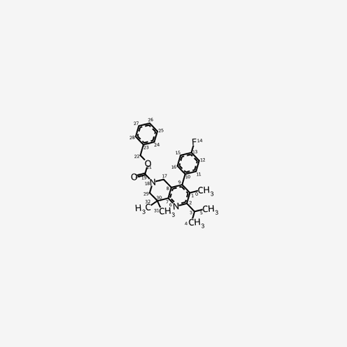 Cc1c(C(C)C)nc2c(c1-c1ccc(F)cc1)CN(C(=O)OCc1ccccc1)CC2(C)C